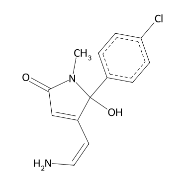 CN1C(=O)C=C(/C=C\N)C1(O)c1ccc(Cl)cc1